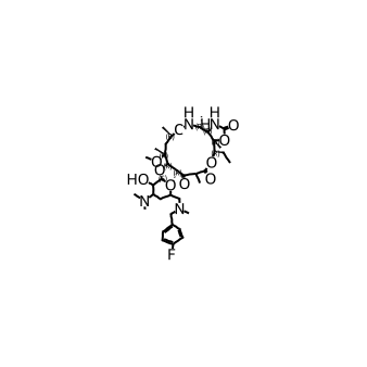 CC[C@H]1OC(=O)C(C)C(=O)[C@H](C)[C@@H](O[C@@H]2OC(CN(C)Cc3ccc(F)cc3)CC(N(C)C)C2O)[C@](C)(OC)C[C@@H](C)CN[C@H](C)[C@H]2NC(=O)O[C@@]21C